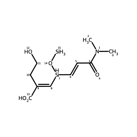 CN(C)C(=O)C=C[SiH](C=C(CCO)C(=O)O)O[SiH3]